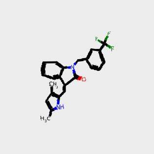 Cc1cc(C)c(C=C2C(=O)N(Cc3cccc(C(F)(F)F)c3)c3ccccc32)[nH]1